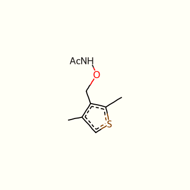 CC(=O)NOCc1c(C)csc1C